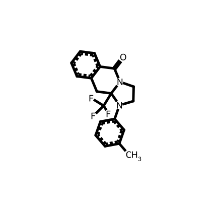 Cc1cccc(N2CCN3C(=O)c4ccccc4CC32C(F)(F)F)c1